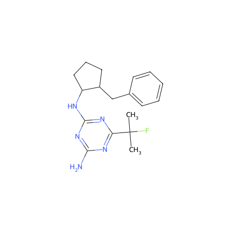 CC(C)(F)c1nc(N)nc(NC2CCCC2Cc2ccccc2)n1